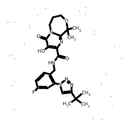 CC(C)(C)c1cn(-c2cc(F)ccc2CNC(=O)c2nc3n(c(=O)c2O)CCCOC3(C)C)nn1